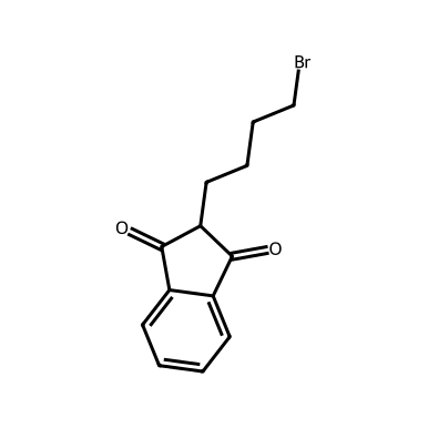 O=C1c2ccccc2C(=O)C1CCCCBr